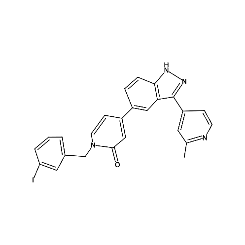 Cc1cc(-c2n[nH]c3ccc(-c4ccn(Cc5cccc(I)c5)c(=O)c4)cc23)ccn1